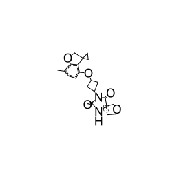 Cc1ccc(OC2CC(N3C(=O)N[C@@]4(CCOC4)C3=O)C2)c2c1OCC21CC1